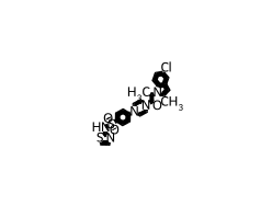 Cc1cc2cc(Cl)ccc2n1C(C)C(=O)N1CCN(c2ccc(S(=O)(=O)Nc3nccs3)cc2)CC1